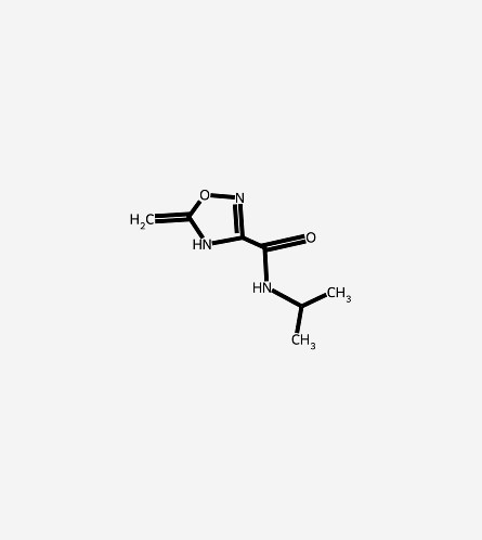 C=C1NC(C(=O)NC(C)C)=NO1